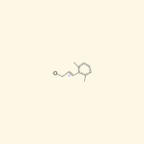 Cc1cccc(C)c1/C=C/C[O]